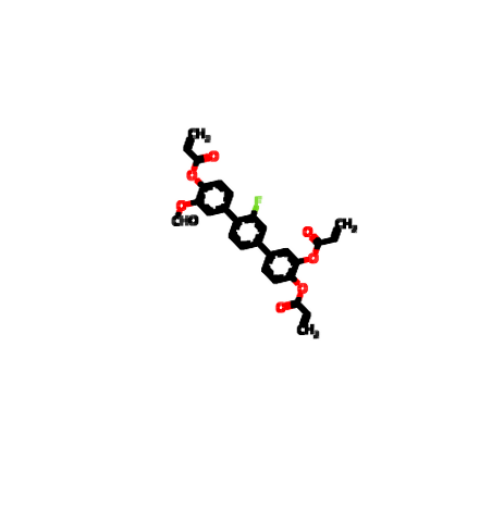 C=CC(=O)Oc1ccc(-c2ccc(-c3ccc(OC(=O)C=C)c(OC(=O)C=C)c3)cc2F)cc1OC=O